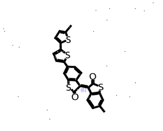 Cc1ccc2c(c1)SC(=O)/C2=C1/C(=O)Sc2cc(-c3ccc(-c4ccc(C)s4)s3)ccc21